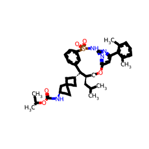 Cc1cccc(C)c1-c1cc2nc(n1)NS(=O)(=O)c1cccc(c1)C([C@H]1CC3(C[C@H](NC(=O)OC(C)C)C3)C1)[C@H](CC(C)C)CO2